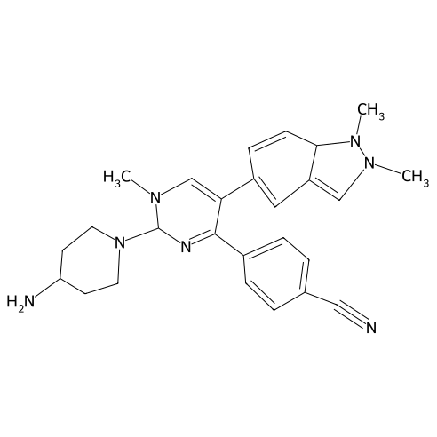 CN1C=C(C2=CC3=CN(C)N(C)C3C=C2)C(c2ccc(C#N)cc2)=NC1N1CCC(N)CC1